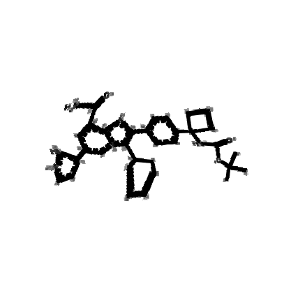 CC(C)(C)OC(=O)NC1(c2ccc(-c3nc4c(C(N)=O)cc(-c5ccn[nH]5)cn4c3C3C=CC=CC3)cc2)CCC1